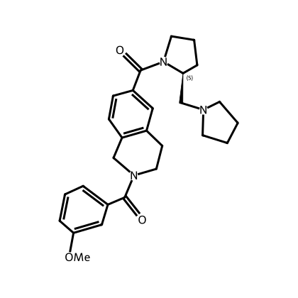 COc1cccc(C(=O)N2CCc3cc(C(=O)N4CCC[C@H]4CN4CCCC4)ccc3C2)c1